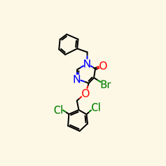 O=c1c(Br)c(OCc2c(Cl)cccc2Cl)ncn1Cc1ccccc1